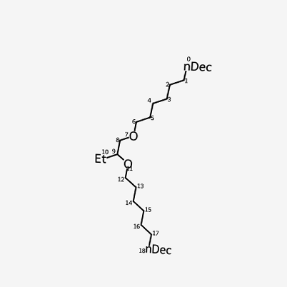 CCCCCCCCCCCCCCCCOCC(CC)OCCCCCCCCCCCCCCCC